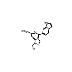 CCCCCCCc1nc(-c2ccc3cc[nH]c3c2)c2cnn(CC(C)=O)c2n1